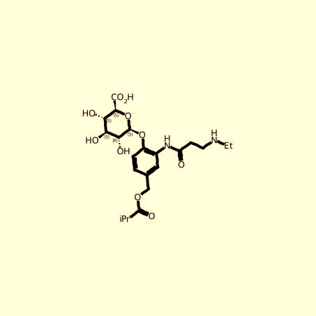 CCNCCC(=O)Nc1cc(COC(=O)C(C)C)ccc1O[C@@H]1O[C@H](C(=O)O)[C@@H](O)[C@H](O)[C@H]1O